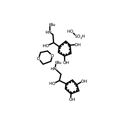 C1COCCO1.CC(C)(C)NCC(O)c1cc(O)cc(O)c1.CC(C)(C)NCC(O)c1cc(O)cc(O)c1.O=S(=O)(O)O